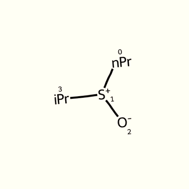 [CH2]CC[S+]([O-])C(C)C